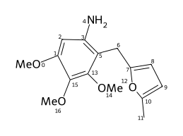 COc1cc(N)c(Cc2ccc(C)o2)c(OC)c1OC